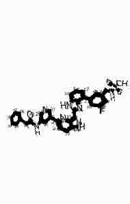 CS(=O)(=O)NCc1cc(F)cc(-c2cccc3[nH]c(-c4n[nH]c5ccc(-c6cncc(NC(=O)Cc7ccccc7)c6)nc45)nc23)c1